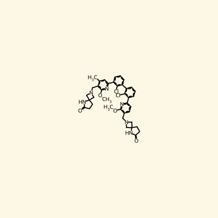 COc1nc(-c2cccc(-c3cccc(-c4cc(C)c(CN5CC6(CCC(=O)N6)C5)c(OC)n4)c3Cl)c2Cl)ccc1CN1CC2(CCC(=O)N2)C1